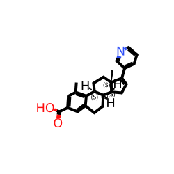 Cc1cc(C(=O)O)cc2c1[C@H]1CC[C@]3(C)C(c4cccnc4)=CC[C@H]3[C@@H]1CC2